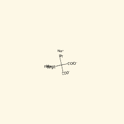 CCCCCCCC(C(=O)[O-])(C(=O)[O-])C(C)C.[K+].[Na+]